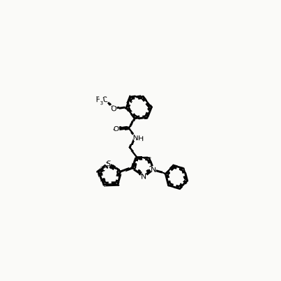 O=C(NCc1cn(-c2ccccc2)nc1-c1cccs1)c1ccccc1OC(F)(F)F